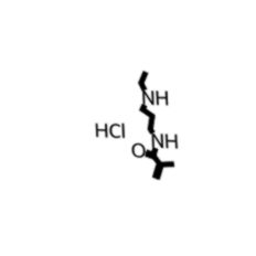 C=C(C)C(=O)NCCCNCC.Cl